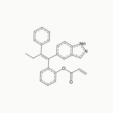 C=CC(=O)Oc1ccccc1/C(=C(\CC)c1ccccc1)c1ccc2[nH]ncc2c1